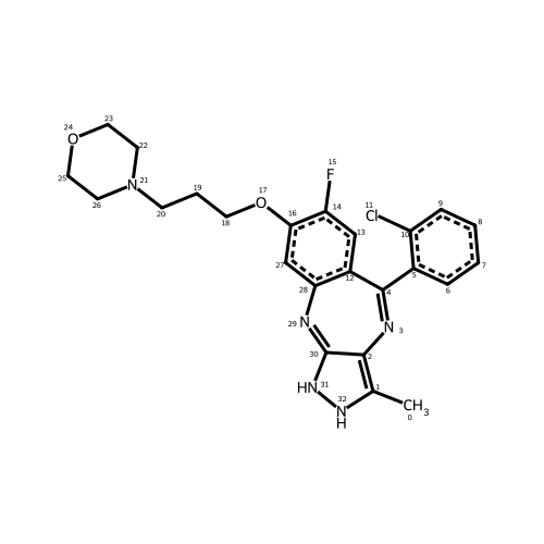 CC1=C2N=C(c3ccccc3Cl)c3cc(F)c(OCCCN4CCOCC4)cc3N=C2NN1